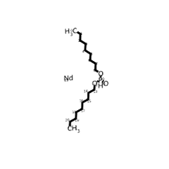 CCCCCCCCCO[PH](=O)OCCCCCCCCC.[Nd]